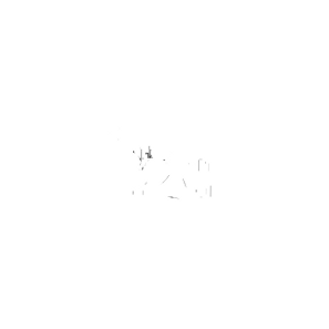 CCCc1c(O)ccc2c1[C@@]1(C)CCN(CC3CC3)[C@H](C2=O)[C@@H]1C